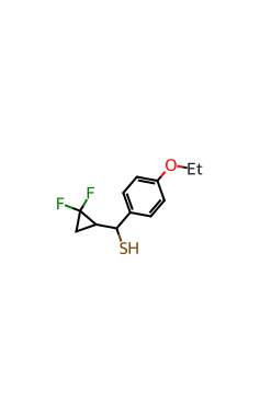 CCOc1ccc(C(S)C2CC2(F)F)cc1